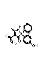 CC1=C(C(N)=O)C(=O)[N+](c2ccccc2)(c2ccc(O)cc2F)N1C